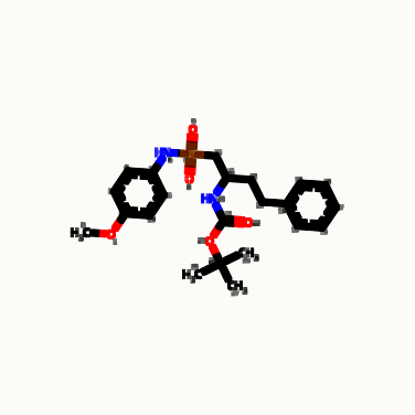 COc1ccc(NS(=O)(=O)CC(CCc2ccccc2)NC(=O)OC(C)(C)C)cc1